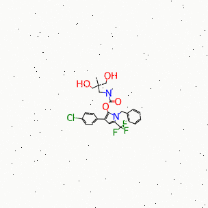 CN(CC(C)(CO)CO)C(=O)Oc1c(-c2ccc(Cl)cc2)cc(C(F)(F)F)n1Cc1ccccc1